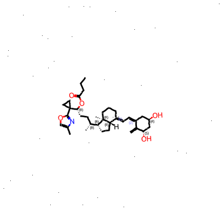 C=C1/C(=C\C=C2/CCC[C@]3(C)[C@@H]([C@H](C)CC[C@@H](OC(=O)CCC)C4(c5nc(C)co5)CC4)CC[C@@H]23)C[C@@H](O)C[C@@H]1O